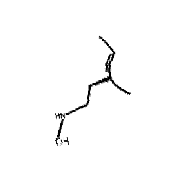 C/C=C(/C)CCNO